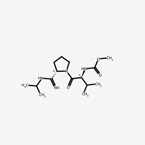 COC(=O)N[C@H](C(=O)N1CCC[C@H]1C(=N)NC(C)C)C(C)C